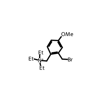 CC[N+](CC)(CC)Cc1ccc(OC)cc1CBr